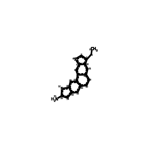 CCc1csc2cc3c(ccc4cc5cc(N)sc5cc43)cc12